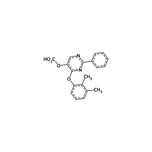 Cc1cccc(Oc2nc(-c3ccccc3)ncc2OC(=O)O)c1C